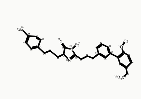 CCOc1ccc(CC(=O)O)cc1-c1cccc(CCCC2=NC(CCCc3ccc(C(C)(C)C)cc3)C(=O)N2CC)c1